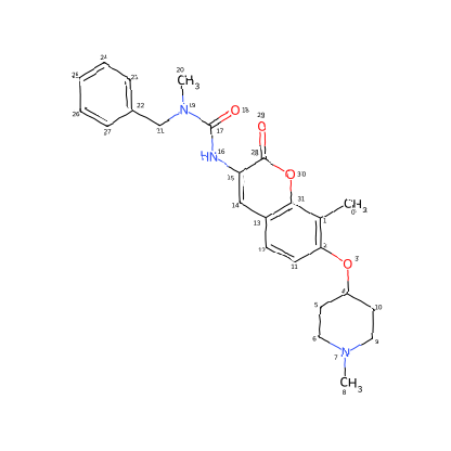 Cc1c(OC2CCN(C)CC2)ccc2cc(NC(=O)N(C)Cc3ccccc3)c(=O)oc12